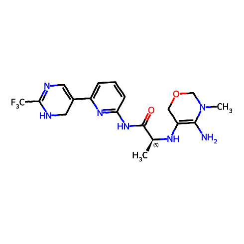 C[C@H](NC1=C(N)N(C)COC1)C(=O)Nc1cccc(C2=CN=C(C(F)(F)F)NC2)n1